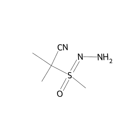 CC(C)(C#N)S(C)(=O)=NN